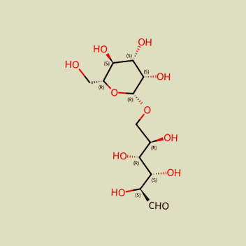 O=C[C@@H](O)[C@@H](O)[C@H](O)[C@H](O)CO[C@@H]1O[C@H](CO)[C@@H](O)[C@H](O)[C@@H]1O